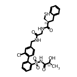 C[C@H](O)C(=O)NS(=O)(=O)c1ccccc1-c1ccc(CNC(=O)CNC(=O)[C@@H](CS)Cc2ccccc2)cc1Cl